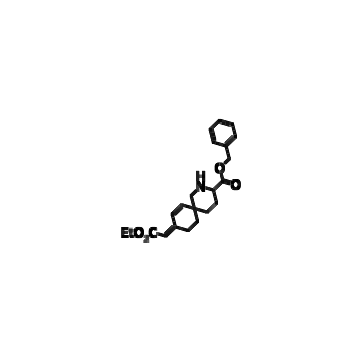 CCOC(=O)C=C1C=CC2(CC1)CCC(C(=O)OCc1ccccc1)NC2